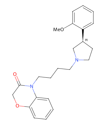 COc1ccccc1[C@H]1CCN(CCCCN2C(=O)COc3ccccc32)C1